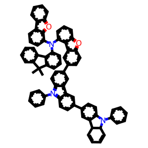 CC1(C)c2ccccc2-c2c(N(c3cccc4c3oc3ccccc34)c3cccc4oc5ccc(-c6ccc7c(c6)c6cc(-c8ccc9c(c8)C8C=CC=CC8N9c8ccccc8)ccc6n7-c6ccccc6)cc5c34)cccc21